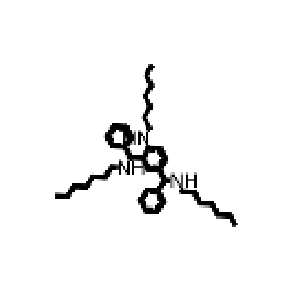 CCCCCCCNc1ccc(C(NCCCCCCC)c2ccccc2)cc1C(NCCCCCCC)c1ccccc1